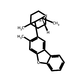 Cc1cc2oc3ccccc3c2cc1C1[C@@H](C)N2CCC1(C)CC2